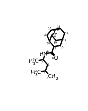 CC(C)CC(C)NC(=O)C1CC2CC3CCC1C(C3)C2